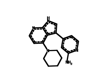 Nc1cc(-c2c[nH]c3nccc(N4CCCCC4)c23)ccn1